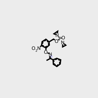 C/C(=N\Oc1cc(COP(=O)(N2CC2)N2CC2)ccc1[N+](=O)[O-])c1ccccc1